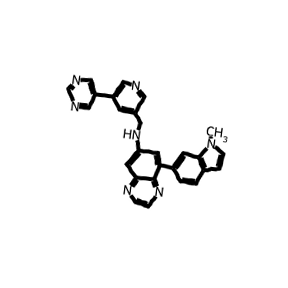 Cn1ccc2ccc(-c3cc(NCc4cncc(-c5cncnc5)c4)cc4nccnc34)cc21